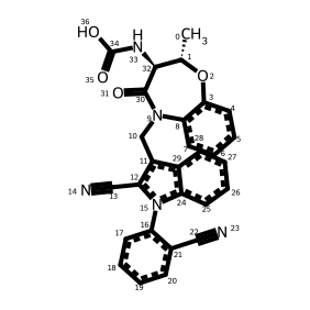 C[C@@H]1Oc2ccccc2N(Cc2c(C#N)n(-c3ccccc3C#N)c3ccccc23)C(=O)[C@H]1NC(=O)O